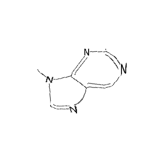 Cn1cnc2cn[c]nc21